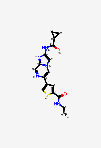 O=C(NCC(F)(F)F)c1cc(-c2cn3cc(NC(=O)C4CC4)nc3cn2)cs1